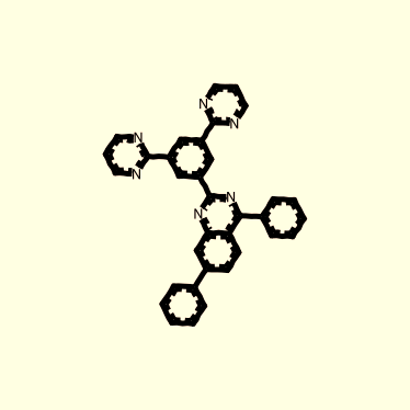 c1ccc(-c2ccc3c(-c4ccccc4)nc(-c4cc(-c5ncccn5)cc(-c5ncccn5)c4)nc3c2)cc1